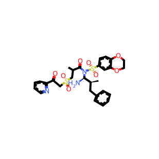 CC(CS(=O)(=O)CC(=O)c1ccccn1)C(=O)N([C@H](N)[C@@H](C)Cc1ccccc1)S(=O)(=O)c1ccc2c(c1)OCCO2